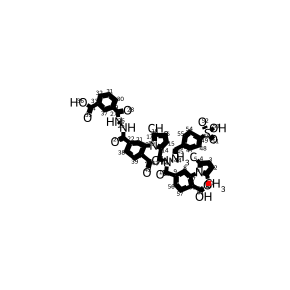 Cc1ccc(C)n1-c1cc(C(=O)N(Cc2ccc(C)n2-c2cc(C(=O)NNC(=O)c3cccc(C(=O)O)c3)ccc2C(=O)O)/N=C/c2ccc(S(=O)(=O)O)cc2)ccc1C(=O)O